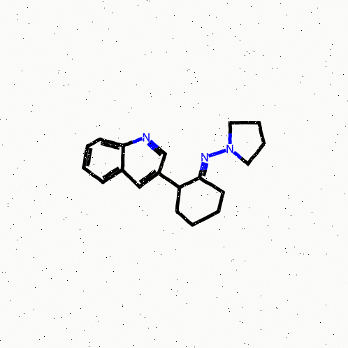 c1ccc2ncc(C3CCCC/C3=N\N3CCCC3)cc2c1